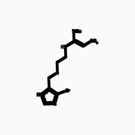 CNC(=C[N+](=O)[O-])NCCSCc1[nH]cnc1Br